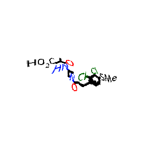 CSc1ccc(C=CC(=O)N2CC(NC(=O)C(C)CC(=O)O)C2)c(Cl)c1Cl